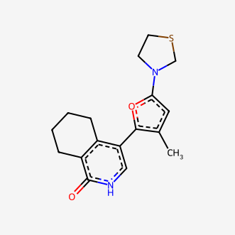 Cc1cc(N2CCSC2)oc1-c1c[nH]c(=O)c2c1CCCC2